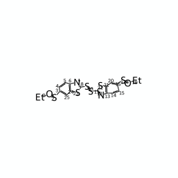 CCOSc1ccc2nc(SSc3nc4ccc(SOCC)cc4s3)sc2c1